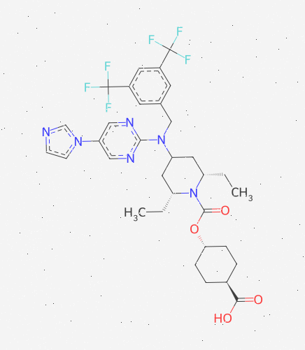 CC[C@@H]1CC(N(Cc2cc(C(F)(F)F)cc(C(F)(F)F)c2)c2ncc(-n3ccnc3)cn2)C[C@H](CC)N1C(=O)O[C@H]1CC[C@H](C(=O)O)CC1